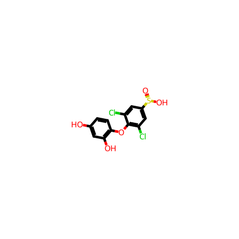 O=S(O)c1cc(Cl)c(Oc2ccc(O)cc2O)c(Cl)c1